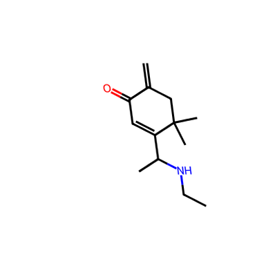 C=C1CC(C)(C)C(C(C)NCC)=CC1=O